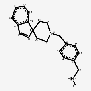 CNCc1ccc(CN2CCC3(C=Cc4ccccc43)CC2)cc1